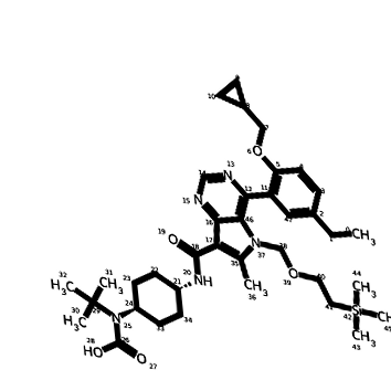 CCc1ccc(OCC2CC2)c(-c2ncnc3c(C(=O)N[C@H]4CC[C@H](N(C(=O)O)C(C)(C)C)CC4)c(C)n(COCC[Si](C)(C)C)c23)c1